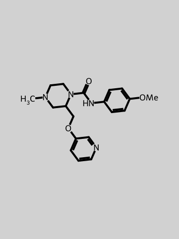 COc1ccc(NC(=O)N2CCN(C)CC2COc2cccnc2)cc1